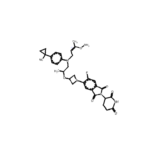 C/C(=C/CN(CC(C)OC1CN(c2cc3c(cc2F)C(=O)N(C2CCC(=O)NC2=O)C3=O)C1)c1ccc(C2(C#N)CC2)cc1)ON